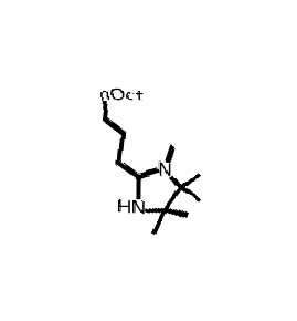 CCCCCCCCCCCC1NC(C)(C)C(C)(C)N1C